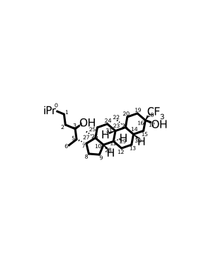 CC(C)CCC(O)C(C)[C@H]1CC[C@H]2[C@@H]3CC[C@H]4C[C@](O)(C(F)(F)F)CC[C@]4(C)[C@H]3CC[C@]12C